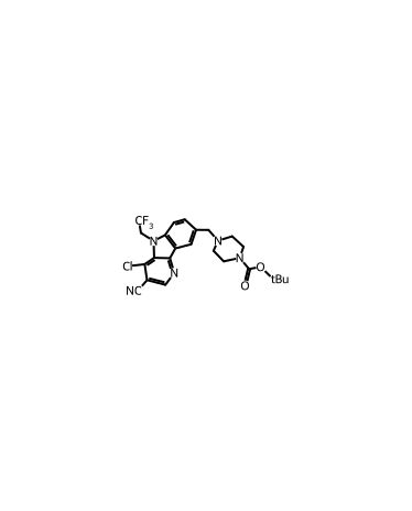 CC(C)(C)OC(=O)N1CCN(Cc2ccc3c(c2)c2ncc(C#N)c(Cl)c2n3CC(F)(F)F)CC1